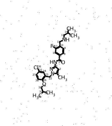 Cc1cc(NC(=O)c2ccc(CNCC(C)C)c(F)c2)nn1Cc1cc(Cl)ccc1OCC(C)C